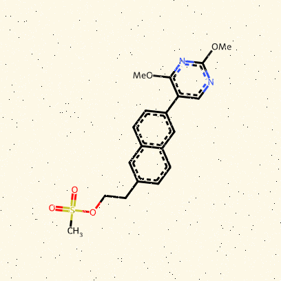 COc1ncc(-c2ccc3cc(CCOS(C)(=O)=O)ccc3c2)c(OC)n1